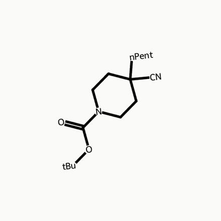 CCCCCC1(C#N)CCN(C(=O)OC(C)(C)C)CC1